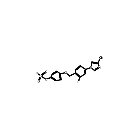 N#Cc1cn(-c2ccc(COc3ccc(OS(=O)(=O)F)cc3)c(F)c2)cn1